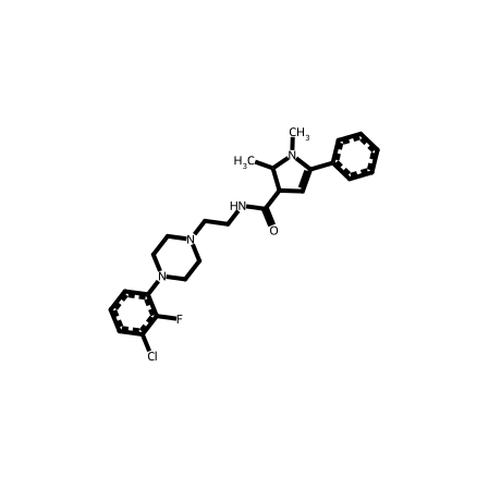 CC1C(C(=O)NCCN2CCN(c3cccc(Cl)c3F)CC2)C=C(c2ccccc2)N1C